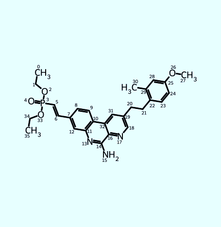 CCOP(=O)(C=Cc1ccc2c(c1)nc(N)c1ncc(CCc3ccc(OC)cc3C)cc12)OCC